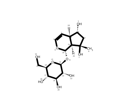 C[C@]1(O)C[C@@H](O)[C@@H]2C=CO[C@@H](O[C@@H]3O[C@H](CO)[C@@H](O)[C@H](O)[C@H]3O)[C@@H]21